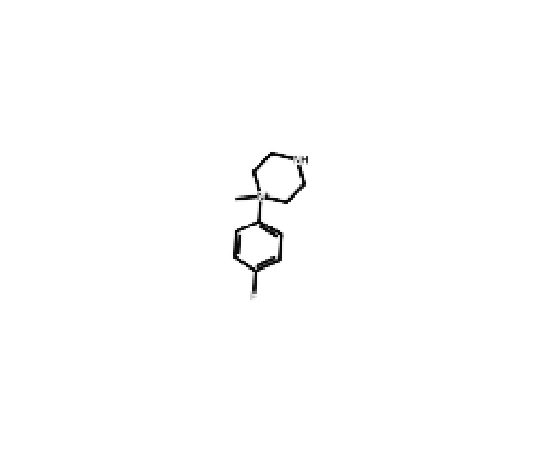 C[N+]1(c2ccc(F)cc2)CCNCC1